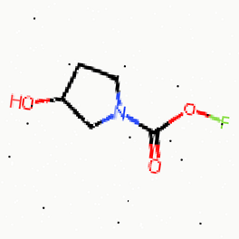 O=C(OF)N1CCC(O)C1